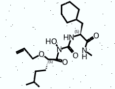 C=CCO[C@@H](CCC(C)C)C(=O)N(O)C(=O)N[C@@H](CC1CCCCC1)C(=O)NC